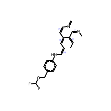 C=N\C=C/C(=C/C=C\Nc1ccc(COC(F)F)cc1)C(/C=N\C)=C\C